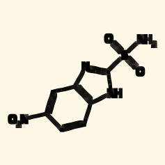 NS(=O)(=O)c1nc2cc([N+](=O)[O-])ccc2[nH]1